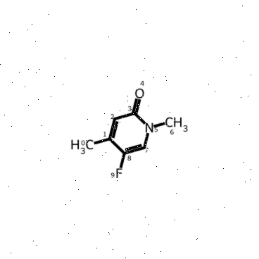 Cc1cc(=O)n(C)cc1F